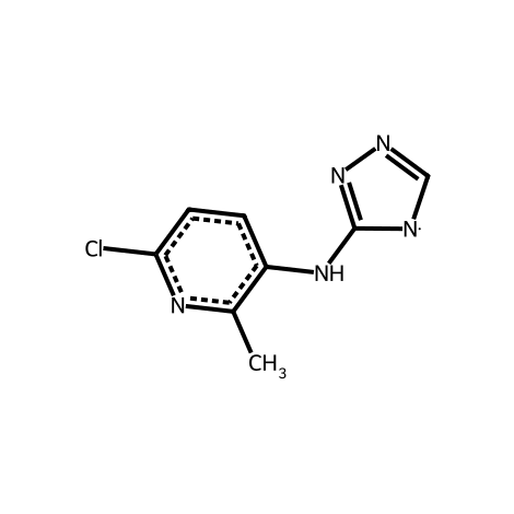 Cc1nc(Cl)ccc1NC1=NN=C[N]1